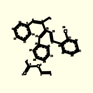 C=COC(C)=O.CC(=Cc1ccccc1)C(C=Cc1ccccc1Cl)=Cc1ccccc1